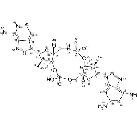 C[C@@H]1[C@@H]2OP(=O)(O)OC[C@H]3O[C@@H](n4cnc5c(N)nc(N)nc54)[C@H](F)[C@@H]3OS(=O)(=O)NC[C@H]2O[C@H]1n1cnc2c(N)ncnc21